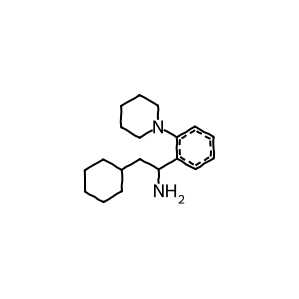 NC(CC1CCCCC1)c1ccccc1N1CCCCC1